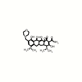 CN(C)c1cc(CN2CCOCC2)c(O)c2c1CC1CC3C(N(C)C)C(O)=C(C(N)=O)C(=O)C3(O)C(O)=C1C2=O